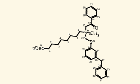 CCCCCCCCCCCCCCCCCCS(C)(CC(=O)c1ccccc1)SSc1cccc(Cc2ccccc2)c1